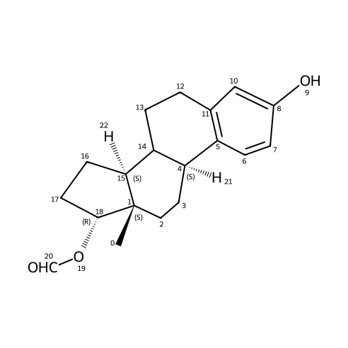 C[C@]12CC[C@@H]3c4ccc(O)cc4CCC3[C@@H]1CC[C@H]2OC=O